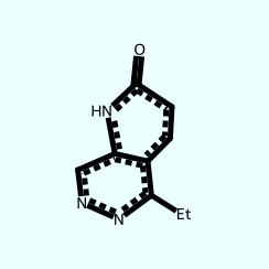 CCc1nncc2[nH]c(=O)ccc12